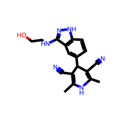 CC1=C(C#N)C(c2ccc3[nH]nc(NCCO)c3c2)C(C#N)=C(C)N1